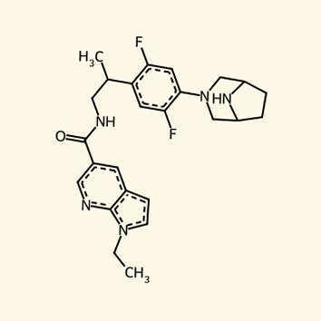 CCn1ccc2cc(C(=O)NCC(C)c3cc(F)c(N4CC5CCC(C4)N5)cc3F)cnc21